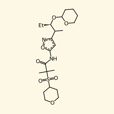 CC[C@@H](OC1CCCCO1)C(C)c1cc(NC(=O)C(C)(C)S(=O)(=O)C2CCOCC2)on1